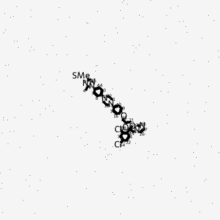 CSc1nc(C)n(-c2ccc(N3CCN(c4ccc(OCC5COC(Cn6ccnc6)(c6ccc(Cl)cc6Cl)O5)cc4)CC3)cc2)n1